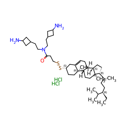 CC[C@H](CC[C@@H](C)[C@H]1CC[C@H]2[C@@H]3CC=C4C[C@@H](SSCCC(=O)N(CCC5CC(N)C5)CCC5CC(N)C5)CC[C@]4(C)[C@H]3CC[C@]12C)C(C)C.Cl.Cl